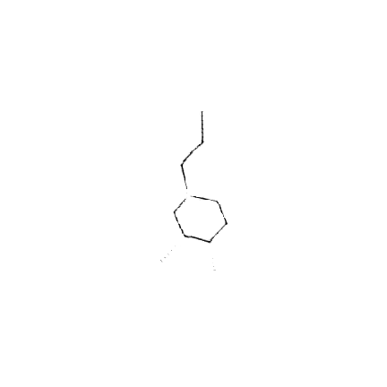 CCCN1CC[C@H](C)[C@H](C)C1